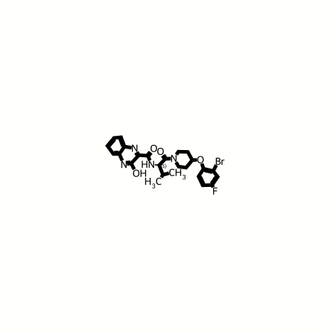 CC(C)[C@H](NC(=O)c1nc2ccccc2nc1O)C(=O)N1CCC(Oc2ccc(F)cc2Br)CC1